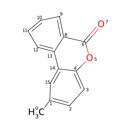 Cc1ccc2oc(=O)c3ccccc3c2c1